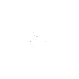 CCCC(C)O.[Zr]